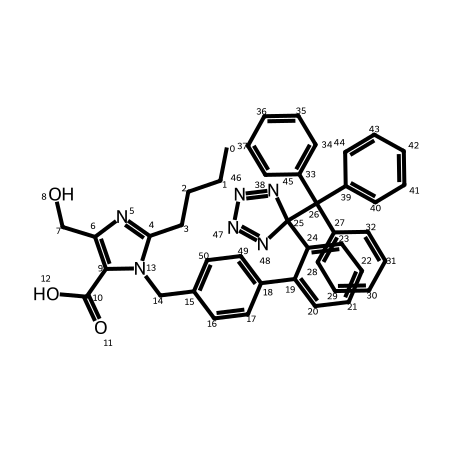 CCCCc1nc(CO)c(C(=O)O)n1Cc1ccc(-c2ccccc2C2(C(c3ccccc3)(c3ccccc3)c3ccccc3)N=NN=N2)cc1